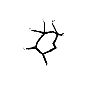 FC1[CH]C(F)(F)C(F)(F)C1F